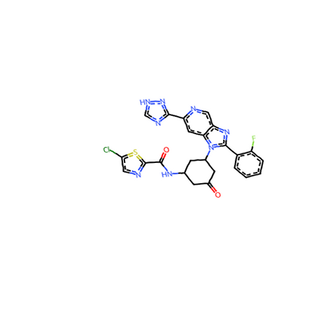 O=C1CC(NC(=O)c2ncc(Cl)s2)CC(n2c(-c3ccccc3F)nc3cnc(-c4nc[nH]n4)cc32)C1